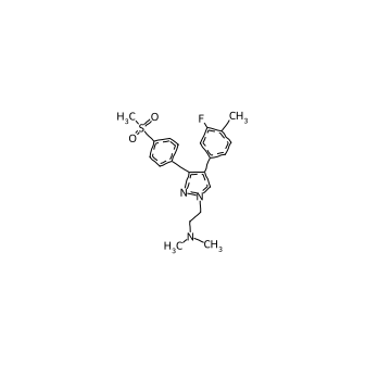 Cc1ccc(-c2cn(CCN(C)C)nc2-c2ccc(S(C)(=O)=O)cc2)cc1F